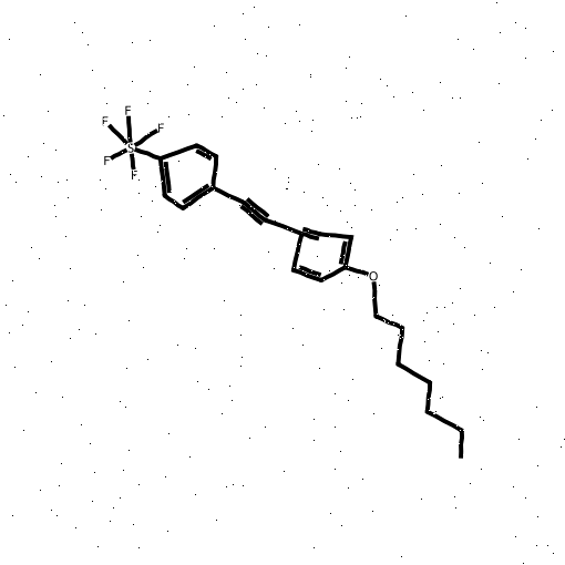 CCCCCCCOc1ccc(C#Cc2ccc(S(F)(F)(F)(F)F)cc2)cc1